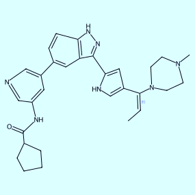 C/C=C(\c1c[nH]c(-c2n[nH]c3ccc(-c4cncc(NC(=O)C5CCCC5)c4)cc23)c1)N1CCN(C)CC1